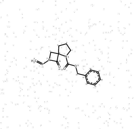 C=PN1CC2(CCCN2C(=O)OCc2ccccc2)C1=O